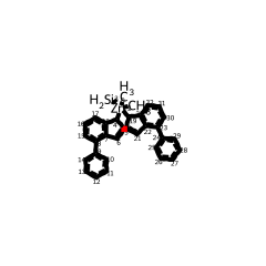 [CH3][Zr]([CH3])(=[SiH2])([CH]1C=Cc2c(-c3ccccc3)cccc21)[CH]1C=Cc2c(-c3ccccc3)cccc21